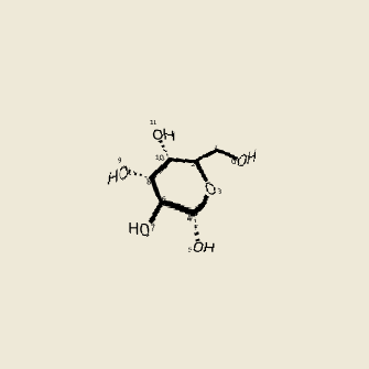 OCC1O[C@H](O)C(O)[C@H](O)[C@@H]1O